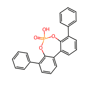 O=P1(O)Oc2c(-c3ccccc3)cccc2-c2cccc(-c3ccccc3)c2O1